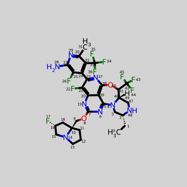 CC[C@@H]1CN2c3nc(OC[C@@]45CCCN4C[C@H](F)C5)nc4c(F)c(-c5c(F)c(N)nc(C)c5C(F)(F)F)nc(c34)OC(C(F)(F)F)[C@@H]2CN1